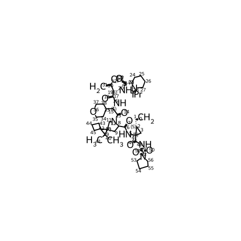 C=C[C@@H]1C[C@]1(NC(=O)C1C[C@@]2(CN1C(=O)[C@@H](NC(=O)[C@@H](NC(=O)[C@@H]1CCCCN1C(C)C)C(=C)C)C1CCOCC1)C(C)(C)C21CCC1)C(=O)NS(=O)(=O)N1CCCC1